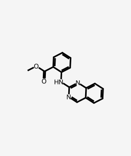 COC(=O)c1ccccc1Nc1ncc2ccccc2n1